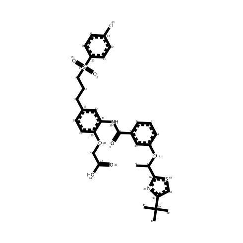 CC(Oc1cccc(C(=O)Nc2cc(CCCS(=O)(=O)c3ccc(Cl)cc3)ccc2OCC(=O)O)c1)c1nc(C(C)(C)C)cs1